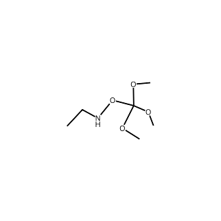 CCNOC(OC)(OC)OC